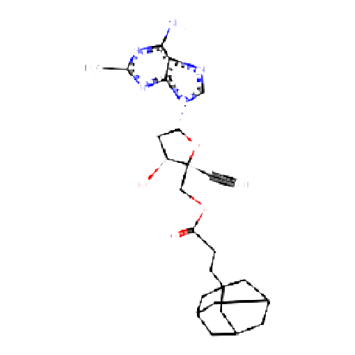 C#C[C@]1(COC(=O)CCC23CC4CC(CC(C4)C2)C3)O[C@@H](n2cnc3c(N)nc(C)nc32)C[C@@H]1O